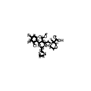 COC(=O)C1=C(CN2CCOCC2(C)C(=O)O)NC(c2nccs2)=NC1c1ccc(F)c(F)c1Cl